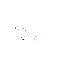 CCc1cccc2nc(NC3=NC(c4ccccc4Cl)C(C(=O)NC/C(C=N)=C/NC)=C(C)N3)oc12